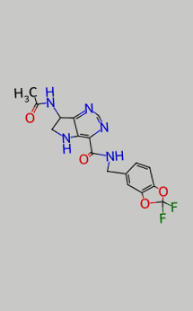 CC(=O)NC1CNc2c(C(=O)NCc3ccc4c(c3)OC(F)(F)O4)ncnc21